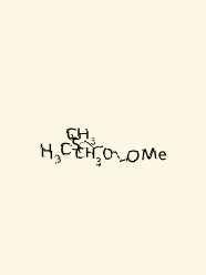 COCCOCCCS(C)(C)C